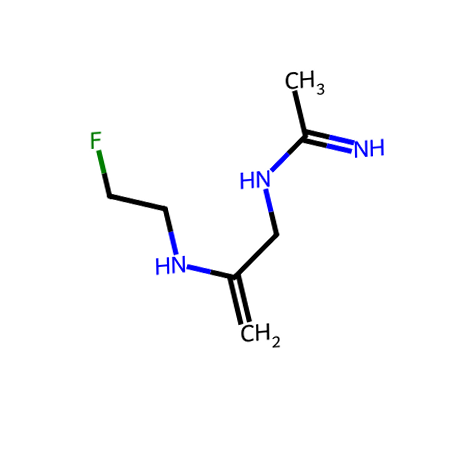 C=C(CNC(C)=N)NCCF